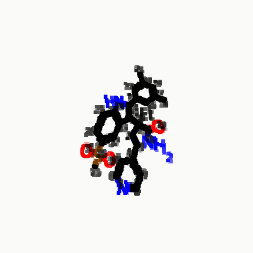 CCC(CCc1ccncc1)(C(N)=O)c1c(-c2cc(C)cc(C)c2)[nH]c2ccc(S(C)(=O)=O)cc12